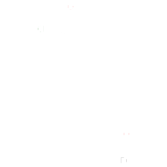 CCOCCc1ccc(C(=O)Cl)cc1